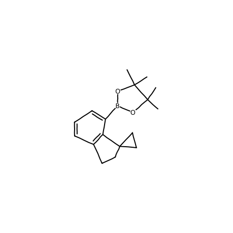 CC1(C)OB(c2cccc3c2C2(CC3)CC2)OC1(C)C